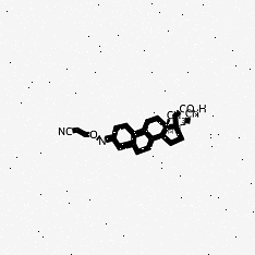 C[C@]12CCC3=C4CCC(=NOCCC#N)C=C4CCC3C1CC[C@]2(CC#N)CC(=O)O